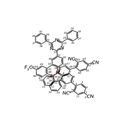 N#Cc1ccc(-c2ccc3c(c2)c2ccccc2n3-c2ccc(-c3nc(-c4ccccc4)nc(-c4ccccc4)n3)cc2-c2cc(C(F)(F)F)ccc2-n2c3ccccc3c3cc(-c4ccc(C#N)cc4C#N)ccc32)c(C#N)c1